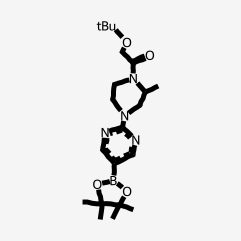 CC1CN(c2ncc(B3OC(C)(C)C(C)(C)O3)cn2)CCN1C(=O)COC(C)(C)C